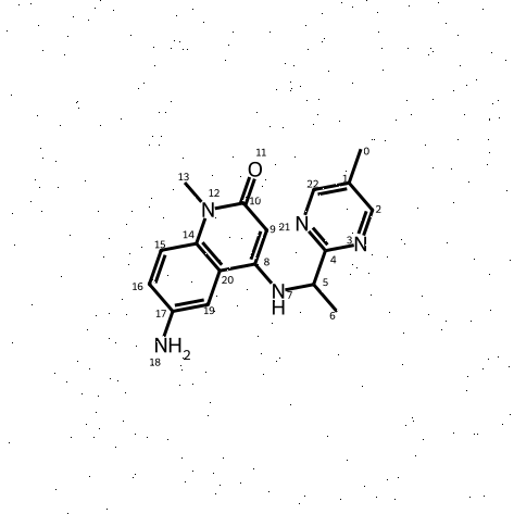 Cc1cnc(C(C)Nc2cc(=O)n(C)c3ccc(N)cc23)nc1